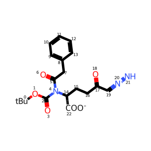 CC(C)(C)OC(=O)N(C(=O)Cc1ccccc1)C(CCC(=O)C=[N+]=N)C(=O)[O-]